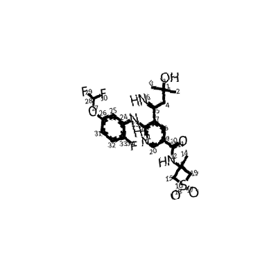 CC(C)(O)CC(=N)c1cc(C(=O)NC2(C)CS(=O)(=O)C2)cnc1Nc1cc(OC(F)F)ccc1F